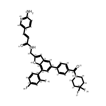 Nc1ccc(C=CC(=O)NCc2cc3cc(-c4ccc(C(=O)N5CCC(F)(F)CC5)cc4)cc(-c4ccc(F)cc4F)c3o2)cn1